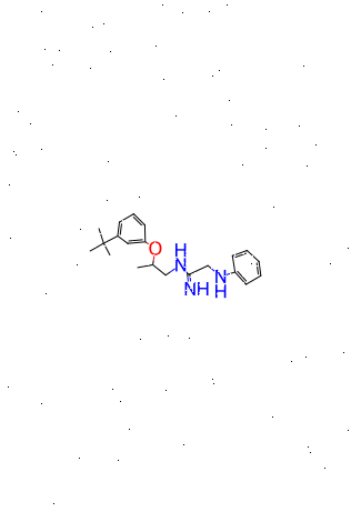 CC(CNC(=N)CNc1ccccc1)Oc1cccc(C(C)(C)C)c1